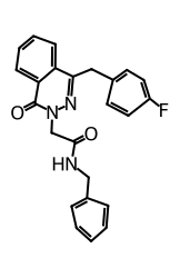 O=C(Cn1nc(Cc2ccc(F)cc2)c2ccccc2c1=O)NCc1ccccc1